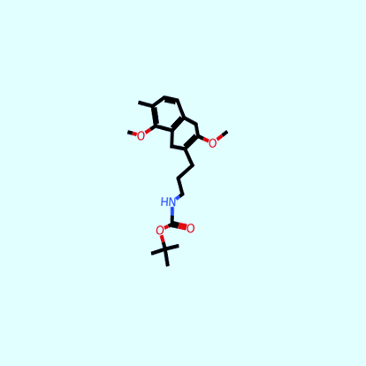 COC1=C(CCCNC(=O)OC(C)(C)C)Cc2c(ccc(C)c2OC)C1